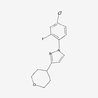 Fc1cc(Cl)ccc1-n1ccc(C2CCOCC2)n1